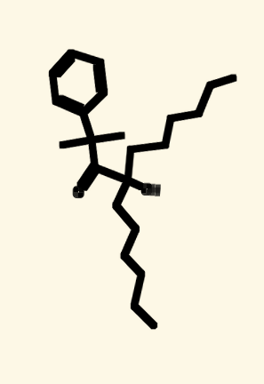 CCCCCCC(O)(CCCCCC)C(=O)C(C)(C)c1ccccc1